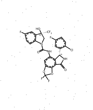 O=C1N[C@@H](c2cc(F)ccc2Cl)c2c(NC(=O)N3C[C@@](O)(C(F)(F)F)c4cc(F)ccc43)cc3c(c21)OC(F)(F)O3